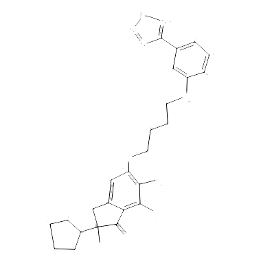 CC1(C2CCCC2)Cc2cc(OCCCCOc3cccc(-c4nn[nH]n4)c3)c(Cl)c(Cl)c2C1=O